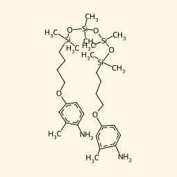 Cc1cc(OCCCC[Si](C)(C)O[Si](C)(C)O[Si](C)(C)O[Si](C)(C)CCCCOc2ccc(N)c(C)c2)ccc1N